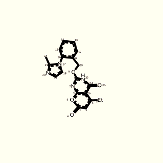 CCc1cc(=O)oc2nc(OCc3ccccc3-n3ccnc3C)[nH]c(=O)c12